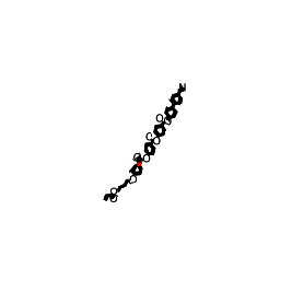 C=CC(=O)OCCCCOc1ccc(C(=O)Oc2ccc(C(=O)Oc3ccc(C(=O)Oc4ccc(-c5ccc(C#N)cc5)cc4)cc3)cc2)cc1